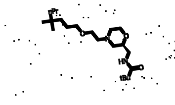 CCCC(C)(C)CCCOCCN1CCO[C@@H](CNC(=O)C(C)(C)C)C1